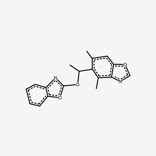 Cc1cc2ocnc2c(C)c1C(C)Oc1nc2ccccc2o1